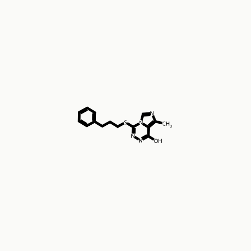 Cc1ncn2c(SCCCc3ccccc3)nnc(O)c12